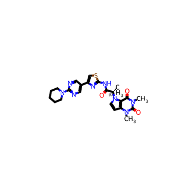 C[C@@H](C(=O)Nc1nc(-c2cnc(N3CCCCC3)nc2)cs1)n1ccc2c1c(=O)n(C)c(=O)n2C